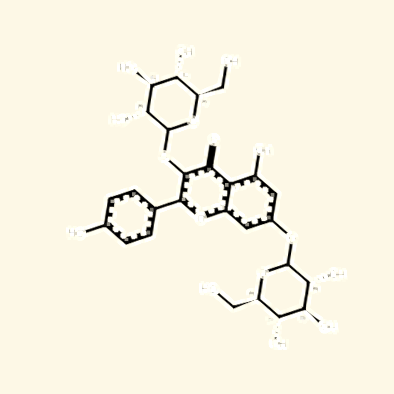 O=c1c(OC2O[C@H](CO)[C@@H](O)[C@H](O)[C@H]2O)c(-c2ccc(O)cc2)oc2cc(OC3O[C@H](CO)[C@@H](O)[C@H](O)[C@H]3O)cc(O)c12